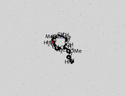 CCC1/C=C(\C)CC(C)CC(OC)C2OC(O)(C(=O)C(=O)N3CCCCC3C(=O)OC(C(C)=CC3CCC(Oc4cccc(-c5ncc[nH]5)c4)C(OC)C3)C(C)C(O)CC1=O)C(C)CC2OC